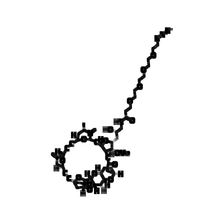 C=C1C[C@@H]2CC[C@@]34C[C@H]5O[C@H]6[C@@H](O3)[C@H]3O[C@H](CC[C@@H]3O[C@H]6[C@H]5O4)CC(=O)C[C@@H]3[C@@H](OC)[C@@H](C[C@H](O)CNC(=O)CCOCCOCCOCCOCCN=[N+]=[N-])O[C@H]3C[C@H]3O[C@@H](CC[C@@H]1O2)C[C@@H](C)C3=C